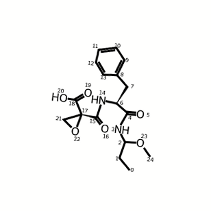 CCC(NC(=O)[C@H](Cc1ccccc1)NC(=O)[C@]1(C(=O)O)CO1)OC